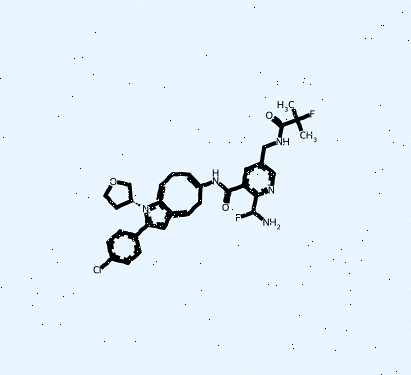 CC(C)(F)C(=O)NCc1cnc(C(N)F)c(C(=O)N/C2=C/C/C=c3\c(cc(-c4ccc(Cl)cc4)n3[C@@H]3CCOC3)=C/C2)c1